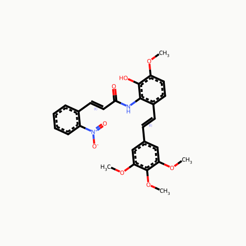 COc1ccc(/C=C/c2cc(OC)c(OC)c(OC)c2)c(NC(=O)/C=C/c2ccccc2[N+](=O)[O-])c1O